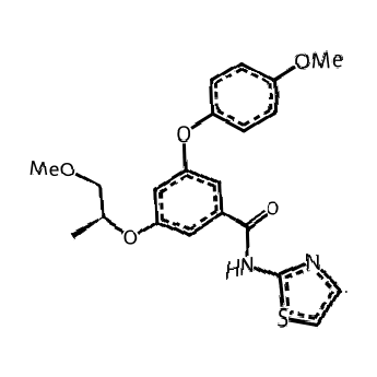 COC[C@H](C)Oc1cc(Oc2ccc(OC)cc2)cc(C(=O)Nc2n[c]cs2)c1